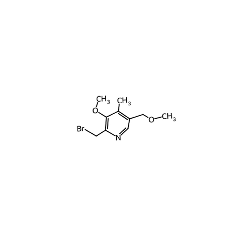 COCc1cnc(CBr)c(OC)c1C